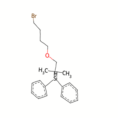 CC(C)(COCCCCBr)[SiH](c1ccccc1)c1ccccc1